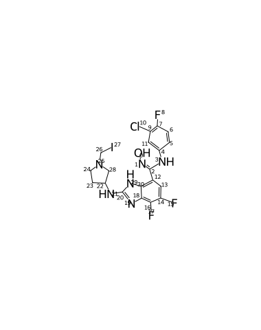 ON=C(Nc1ccc(F)c(Cl)c1)c1cc(F)c(F)c2nc(NC3CCN(CI)C3)[nH]c12